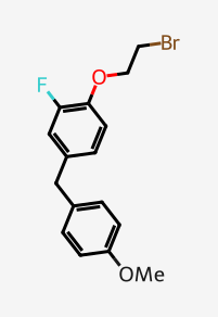 COc1ccc(Cc2ccc(OCCBr)c(F)c2)cc1